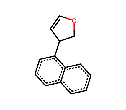 C1=CC(c2cccc3ccccc23)CO1